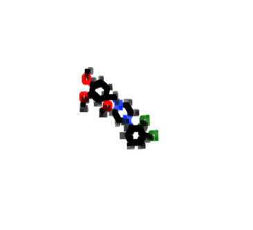 COC1=CCC(CN2CCN(c3cccc(Cl)c3Cl)CC2)(OC)C=C1OC